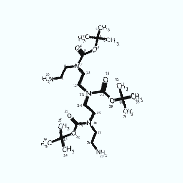 CC(C)(C)OC(=O)N(CCN)CCN(CCN(CCN)C(=O)OC(C)(C)C)C(=O)OC(C)(C)C